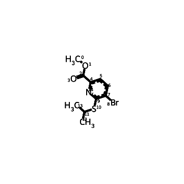 COC(=O)c1ccc(Br)c(SC(C)C)n1